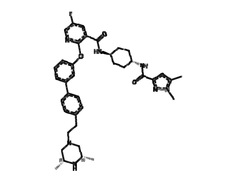 Cc1cc(C(=O)N[C@H]2CC[C@H](NC(=O)c3cc(F)cnc3Oc3cccc(-c4ccc(CCN5C[C@@H](C)N[C@@H](C)C5)cc4)c3)CC2)nn1C